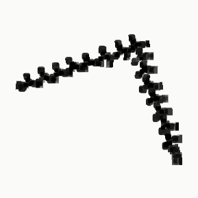 O=[N+]([O-])O.O=[N+]([O-])O.O=[N+]([O-])O.O=[N+]([O-])O.O=[N+]([O-])O.O=[N+]([O-])O.O=[N+]([O-])O.O=[N+]([O-])O.O=[N+]([O-])O.O=[N+]([O-])O.O=[N+]([O-])O.O=[N+]([O-])O.O=[N+]([O-])O.O=[N+]([O-])O.O=[N+]([O-])O.[KH].[KH].[KH].[KH].[KH]